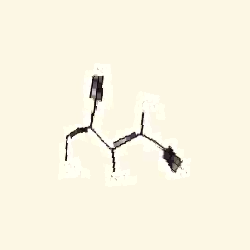 C/C=C(C#N)\C(N)=C(/C)C#N